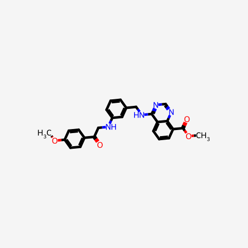 COC(=O)c1cccc2c(NCc3cccc(NCC(=O)c4ccc(OC)cc4)c3)ncnc12